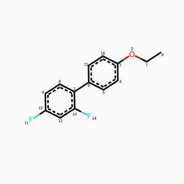 CCOc1ccc(-c2ccc(F)cc2F)cc1